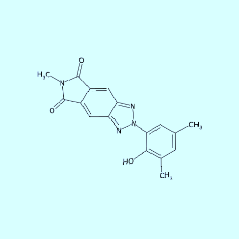 Cc1cc(C)c(O)c(-n2nc3cc4c(cc3n2)C(=O)N(C)C4=O)c1